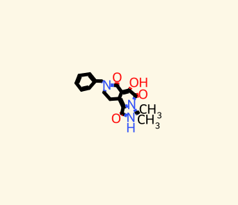 CC1(C)NC(=O)c2c3c(c(O)c(=O)n21)C(=O)N(Cc1ccccc1)CC3